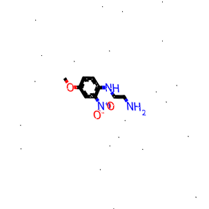 COc1ccc(NCCN)c([N+](=O)[O-])c1